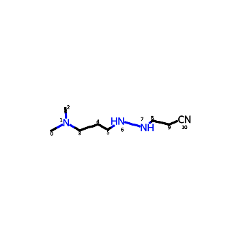 CN(C)CCCNNCCC#N